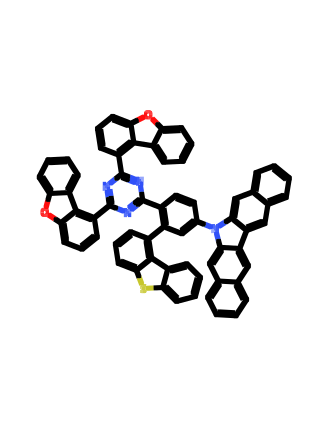 c1ccc2cc3c(cc2c1)c1cc2ccccc2cc1n3-c1ccc(-c2nc(-c3cccc4oc5ccccc5c34)nc(-c3cccc4oc5ccccc5c34)n2)c(-c2cccc3sc4ccccc4c23)c1